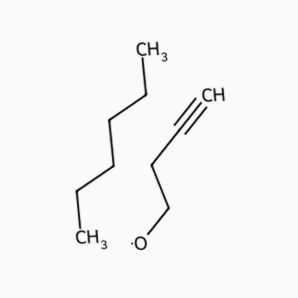 C#CCC[O].CCCCCC